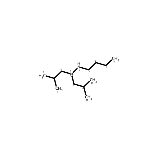 CCCCNN(CC(C)C)CC(C)C